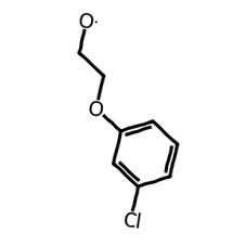 [O]CCOc1cccc(Cl)c1